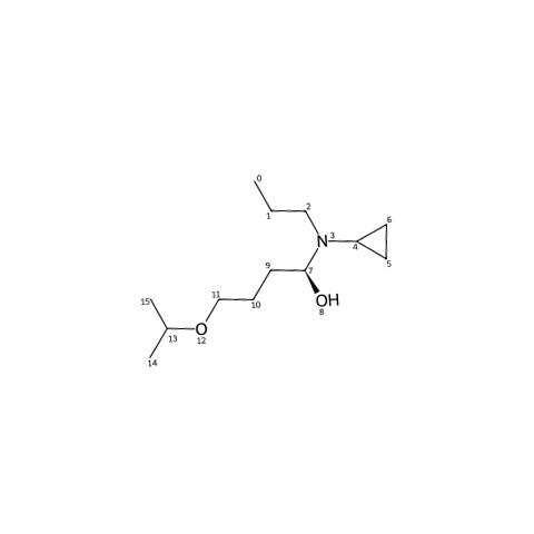 CCCN(C1CC1)[C@@H](O)CCCOC(C)C